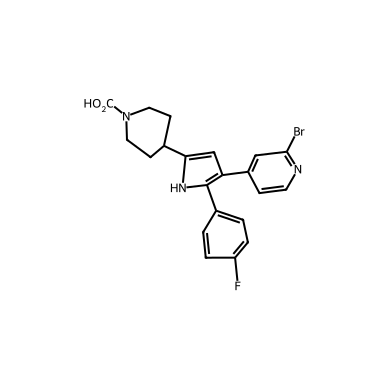 O=C(O)N1CCC(c2cc(-c3ccnc(Br)c3)c(-c3ccc(F)cc3)[nH]2)CC1